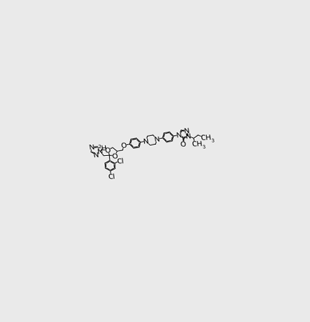 [2H][N+]1(CC2(c3ccc(Cl)cc3Cl)OCC(COc3ccc(N4CCN(c5ccc(-n6cnn(C(C)CC)c6=O)cc5)CC4)cc3)O2)C=NC=N1